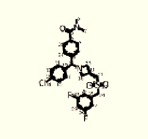 CN(C)C(=O)c1ccc(C(c2ccc(Cl)cc2)N2CC(=CS(=O)(=O)Cc3cc(F)cc(F)c3)C2)cc1